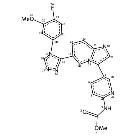 COC(=O)Nc1ccc(-c2cnc3ccc(-c4nncn4-c4ccc(F)c(OC)c4)cn23)cn1